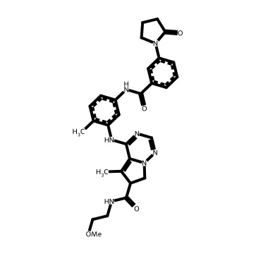 COCCNC(=O)C1CN2N=CN=C(Nc3cc(NC(=O)c4cccc(N5CCCC5=O)c4)ccc3C)C2=C1C